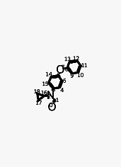 O=CN(c1ccc(Oc2ccccc2)cc1)C1CC1